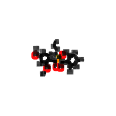 CCCCP(=O)(C(=O)c1ccc(OC)cc1OC)C(=O)c1c(C)cccc1C